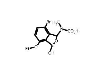 CCOc1ccc(Br)c2c1B(O)OC2N(C)C(=O)O